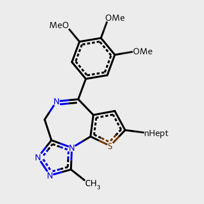 CCCCCCCc1cc2c(s1)-n1c(C)nnc1CN=C2c1cc(OC)c(OC)c(OC)c1